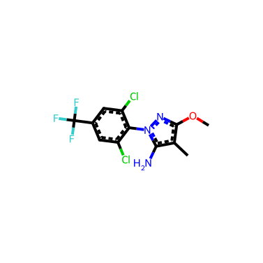 COc1nn(-c2c(Cl)cc(C(F)(F)F)cc2Cl)c(N)c1C